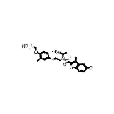 CCCCC(C)N(CCSc1ccc(OCC(=O)O)c(C)c1)S(=O)(=O)c1sc2ccc(Cl)cc2c1C